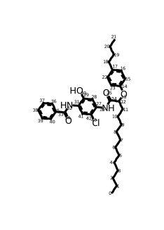 CCCCCCCCCCCCC(Oc1ccc(CCCC)cc1)C(=O)Nc1cc(O)c(NC(=O)c2ccccc2)cc1Cl